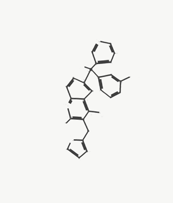 Cc1cccc(C(C)(c2cccnc2)c2ccc3nc(Cl)c(Cc4cccs4)c(Cl)c3c2)c1